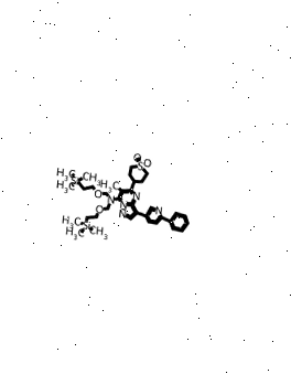 Cc1c(C2CCS(=O)(=O)CC2)nc2c(-c3ccc(-c4ccccc4)nc3)cnn2c1N(COCC[Si](C)(C)C)COCC[Si](C)(C)C